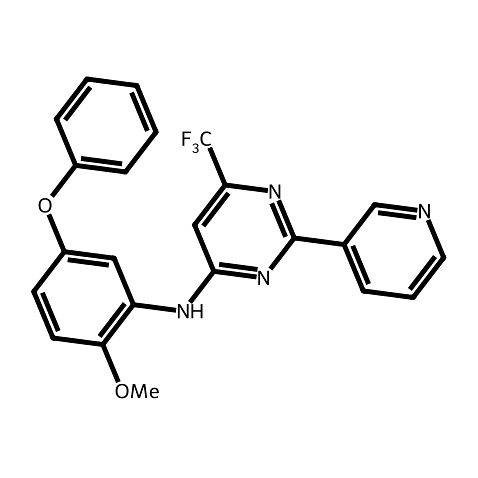 COc1ccc(Oc2ccccc2)cc1Nc1cc(C(F)(F)F)nc(-c2cccnc2)n1